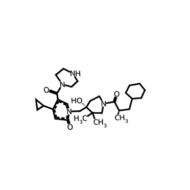 C[C@H](CC1CCCCC1)C(=O)N1CC[C@](O)(Cn2cc(C(=O)N3CCNCC3)c(C3CC3)cc2=O)C(C)(C)C1